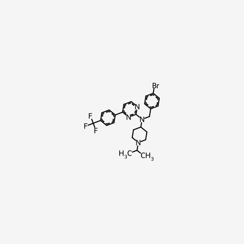 CC(C)N1CCC(N(Cc2ccc(Br)cc2)c2nccc(-c3ccc(C(F)(F)F)cc3)n2)CC1